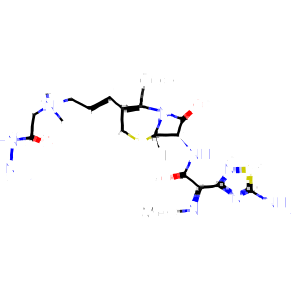 CO/N=C(\C(=O)N[C@@H]1C(=O)N2C(C(=O)[O-])=C(/C=C/C[N+](C)(C)CC(=O)NN)CS[C@@H]12)c1nsc(N)n1